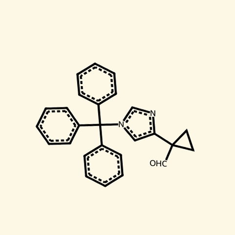 O=CC1(c2cn(C(c3ccccc3)(c3ccccc3)c3ccccc3)cn2)CC1